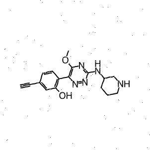 C#Cc1ccc(-c2nnc(NC3CCCNC3)nc2OC)c(O)c1